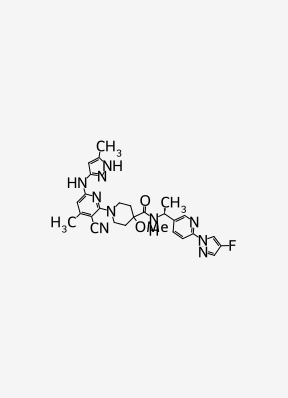 COC1(C(=O)N[C@@H](C)c2ccc(-n3cc(F)cn3)nc2)CCN(c2nc(Nc3cc(C)[nH]n3)cc(C)c2C#N)CC1